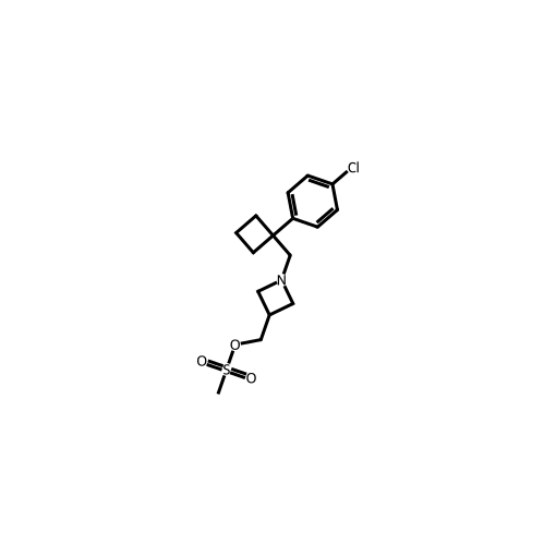 CS(=O)(=O)OCC1CN(CC2(c3ccc(Cl)cc3)CCC2)C1